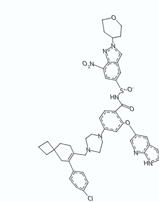 O=C(N[S+]([O-])c1cc([N+](=O)[O-])c2nn(C3CCOCC3)cc2c1)c1ccc(N2CCN(CC3=C(c4ccc(Cl)cc4)CC4(CCC4)CC3)CC2)cc1Oc1cnc2[nH]ccc2c1